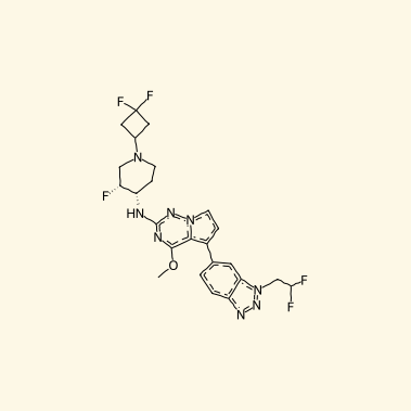 COc1nc(N[C@H]2CCN(C3CC(F)(F)C3)C[C@H]2F)nn2ccc(-c3ccc4nnn(CC(F)F)c4c3)c12